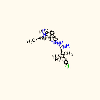 C=CCCCC(=C)NCC(=C)c1cccc(CCc2cn(NCC(C#C/C(C)=C(\C)C(=C)Cc3ccc(Cl)cc3)C=N)cn2)c1C(=C)C